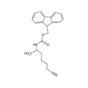 C#CCCCCC(NC(=O)OCC1c2ccccc2-c2ccccc21)C(=O)O